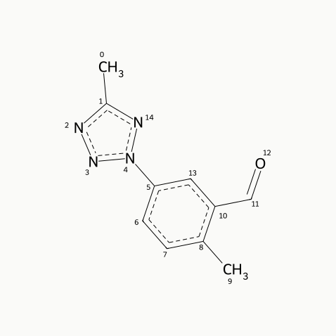 Cc1nnn(-c2ccc(C)c(C=O)c2)n1